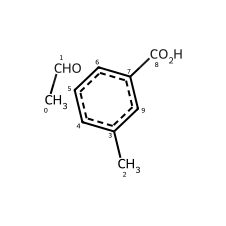 CC=O.Cc1cccc(C(=O)O)c1